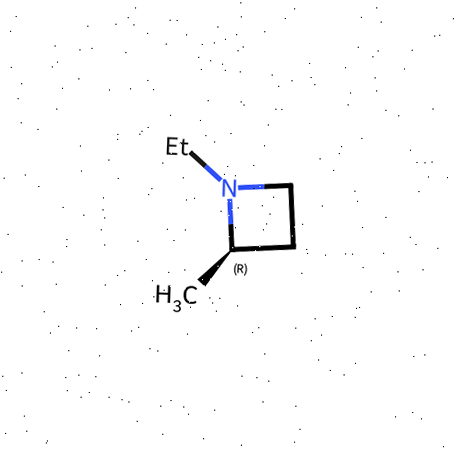 CCN1CC[C@H]1C